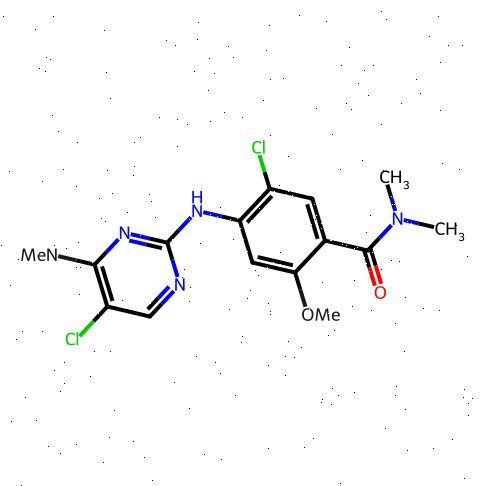 CNc1nc(Nc2cc(OC)c(C(=O)N(C)C)cc2Cl)ncc1Cl